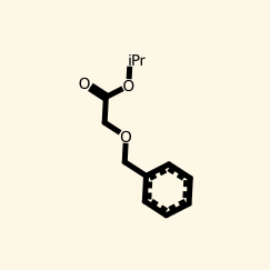 CC(C)OC(=O)COCc1ccccc1